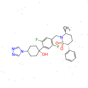 C[C@H]1CC[C@H](c2ccccc2)S(=O)(=O)N1Cc1cc(F)c(C2(O)CCC(n3cnnc3)CC2)cc1F